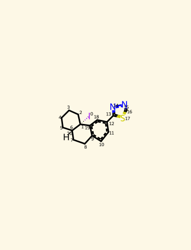 I[C@@]12CCCC[C@@H]1CCc1ccc(-c3nncs3)cc12